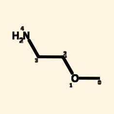 CO[CH]CN